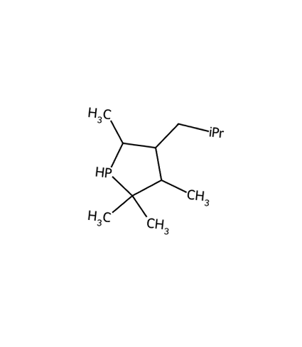 CC(C)CC1C(C)PC(C)(C)C1C